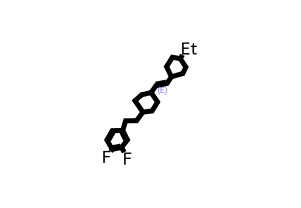 CCC1CCC(/C=C/C2CCC(CCc3ccc(F)c(F)c3)CC2)CC1